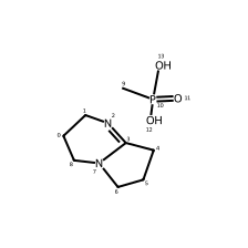 C1CN=C2CCCN2C1.CP(=O)(O)O